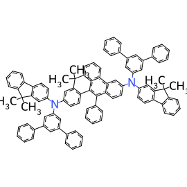 CC1(C)c2ccccc2-c2ccc(N(c3cc(-c4ccccc4)cc(-c4ccccc4)c3)c3ccc4c(c3)C(C)(C)c3cccc5c3c-4c(-c3ccccc3)c3ccc(N(c4cc(-c6ccccc6)cc(-c6ccccc6)c4)c4ccc6c(c4)C(C)(C)c4ccccc4-6)cc35)cc21